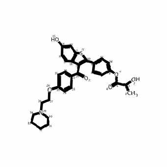 CC(O)C(=O)Oc1ccc(-c2sc3cc(O)ccc3c2C(=O)c2ccc(OCCN3CCCCC3)cc2)cc1